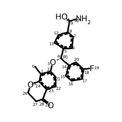 Cc1c(O[C@H](c2ccc(C(N)O)cc2)c2cccc(F)c2)ccc2c1OCCC2=O